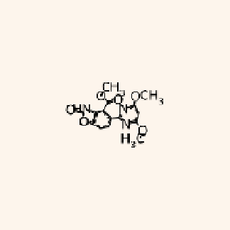 COC(=O)c1c(-c2nc(OC)cc(OC)n2)ccc2oc(=O)[nH]c12